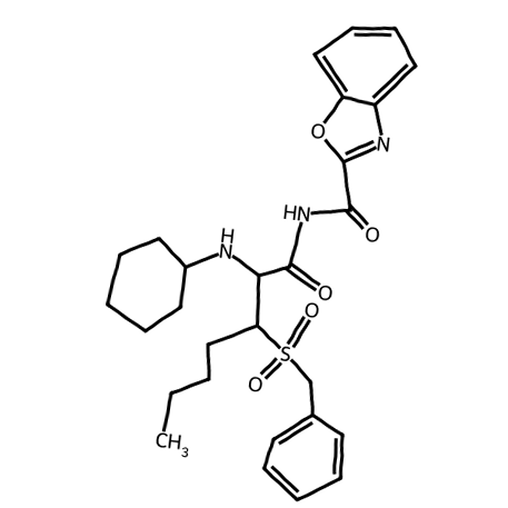 CCCCC(C(NC1CCCCC1)C(=O)NC(=O)c1nc2ccccc2o1)S(=O)(=O)Cc1ccccc1